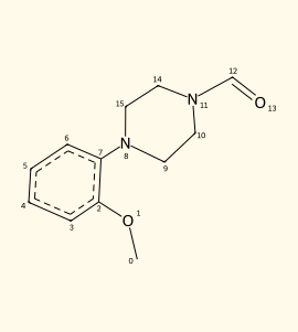 COc1ccccc1N1CCN(C=O)CC1